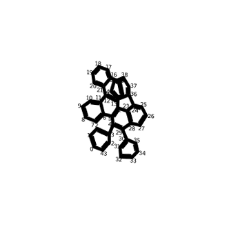 c1ccc(-c2c(-c3ccccc3-c3cccc4ccccc34)c3c4c(cccc4c2-c2ccccc2)-c2ccccc2-3)cc1